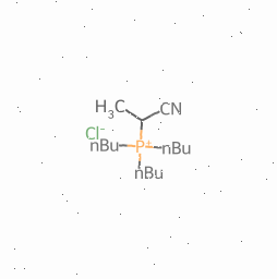 CCCC[P+](CCCC)(CCCC)C(C)C#N.[Cl-]